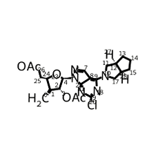 C=C1[C@@H](OC(C)=O)[C@H](n2ncc3c(N4C[C@H]5CCC[C@H]5C4)nc(Cl)nc32)O[C@@H]1COC(C)=O